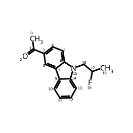 CC(=O)c1ccc2c(c1)c1ccccc1n2CC(C)F